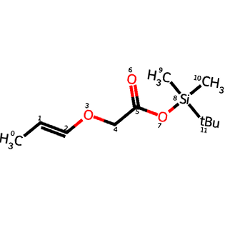 CC=COCC(=O)O[Si](C)(C)C(C)(C)C